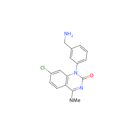 CNc1nc(=O)n(-c2cccc(CN)c2)c2cc(Cl)ccc12